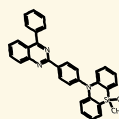 C[Si]1(C)c2ccccc2N(c2ccc(-c3nc(-c4ccccc4)c4ccccc4n3)cc2)c2ccccc21